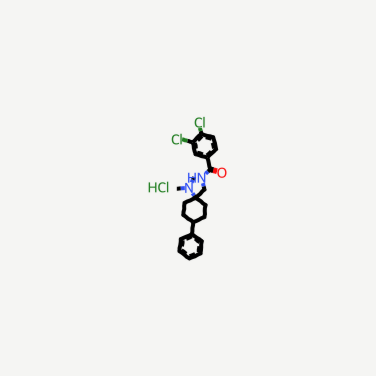 CN(C)C1(CNC(=O)c2ccc(Cl)c(Cl)c2)CCC(c2ccccc2)CC1.Cl